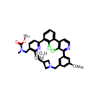 COc1cc(CN2CC(CC(=O)O)C2)cc(-c2nccc(-c3cccc(-c4ccc(CN(C)C(=O)OC(C)(C)C)c(OC)n4)c3Cl)c2Cl)c1